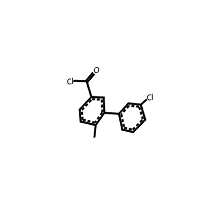 Cc1ccc(C(=O)Cl)cc1-c1cccc(Cl)c1